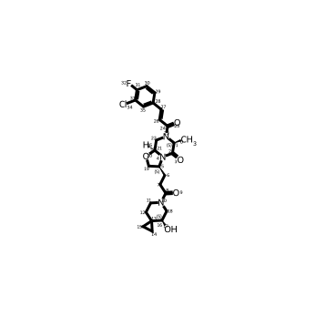 C[C@H]1C(=O)N2[C@@H](CCC(=O)N3CCC4(CC4)[C@H](O)C3)CO[C@H]2CN1C(=O)C=Cc1ccc(F)c(Cl)c1